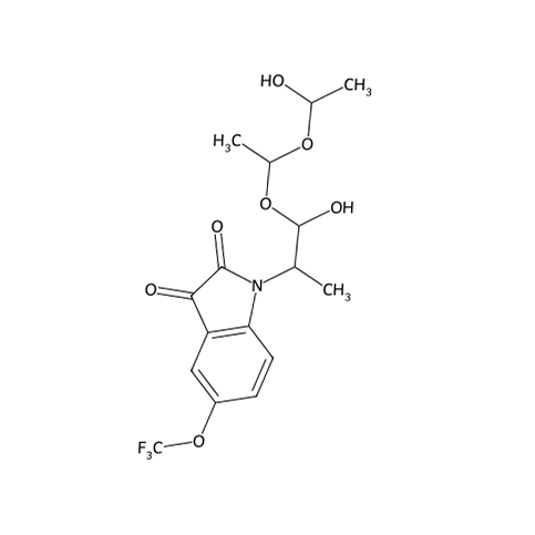 CC(O)OC(C)OC(O)C(C)N1C(=O)C(=O)c2cc(OC(F)(F)F)ccc21